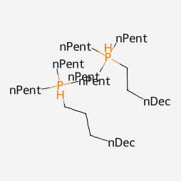 CCCCCCCCCCCCC[PH](CCCCC)(CCCCC)CCCCC.CCCCCCCCCCCC[PH](CCCCC)(CCCCC)CCCCC